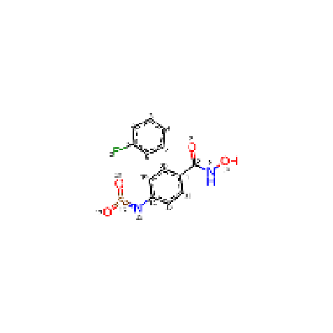 Fc1ccccc1.O=C(NO)c1ccc(N=S(=O)=O)cc1